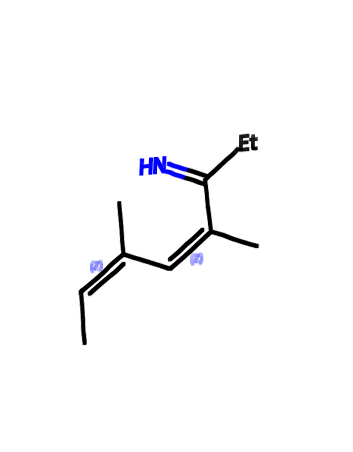 C/C=C(C)\C=C(\C)C(=N)CC